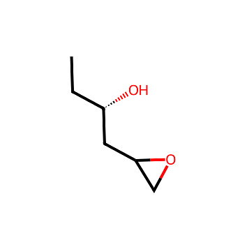 CC[C@H](O)CC1CO1